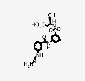 C#CC(CC(=O)O)NS(=O)(=O)c1cccc(NC(=O)c2cccc(NC=NN)c2)c1